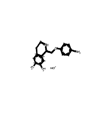 Cl.Nc1ccc(OCC2NCCc3cc(O)c(O)cc32)cc1